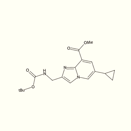 COC(=O)c1cc(C2CC2)cn2cc(CNC(=O)OC(C)(C)C)nc12